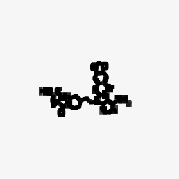 Nc1ncnc2c1nc(Sc1cc3c(cc1Br)OCO3)n2CCC1CCN(C(=O)C2(NC(=O)O)CC2)CC1